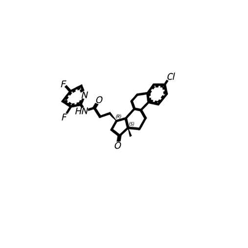 C[C@]12CCC3c4ccc(Cl)cc4CCC3C1[C@H](CCC(=O)Nc1ncc(F)cc1F)CC2=O